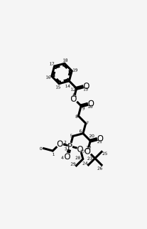 CCOP(=O)(CC(CCC(=O)OC(=O)c1ccccc1)C(=O)OC(C)(C)C)OCC